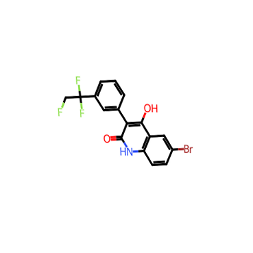 O=c1[nH]c2ccc(Br)cc2c(O)c1-c1cccc(C(F)(F)CF)c1